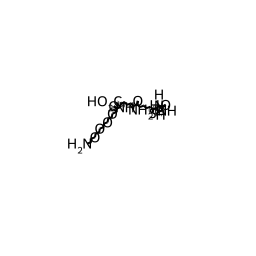 NCCOCCOCCOCCOCC(=O)N[C@@H](CCCC(N)C(=O)CCCC[C@@H]1SC[C@@H]2NC(=O)N[C@@H]21)C(=O)O